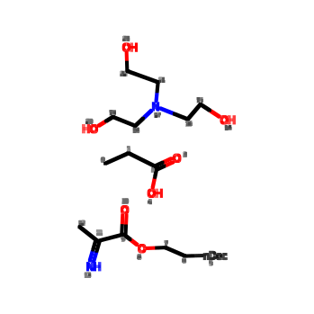 CCC(=O)O.CCCCCCCCCCCCOC(=O)C(C)=N.OCCN(CCO)CCO